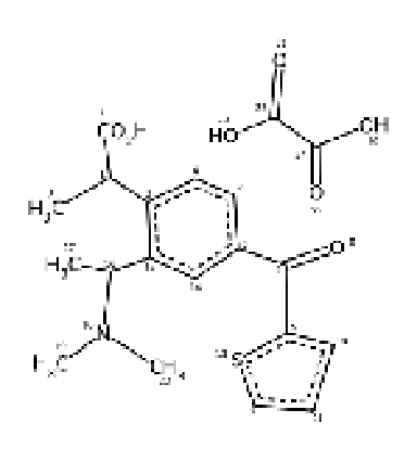 CC(C(=O)O)c1ccc(C(=O)c2cccs2)cc1C(C)N(C)C.O=C(O)C(=O)O